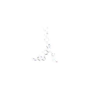 C/N=C\c1cnn2c(-c3cc(N[C@H]4C[C@H](CNC(=O)OC)C4)c(-c4cn([C@H]5CC[C@H](NC(=O)N6CCOCC6)CC5)nn4)cn3)ccc2c1